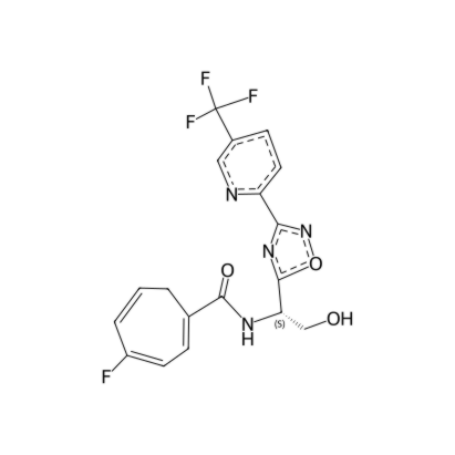 O=C(N[C@@H](CO)c1nc(-c2ccc(C(F)(F)F)cn2)no1)C1=CC=C(F)C=CC1